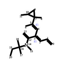 C=C/C=C(\C=C(/C)C1(C)CC1C)C(=C)N(C)C(C)(C)CC